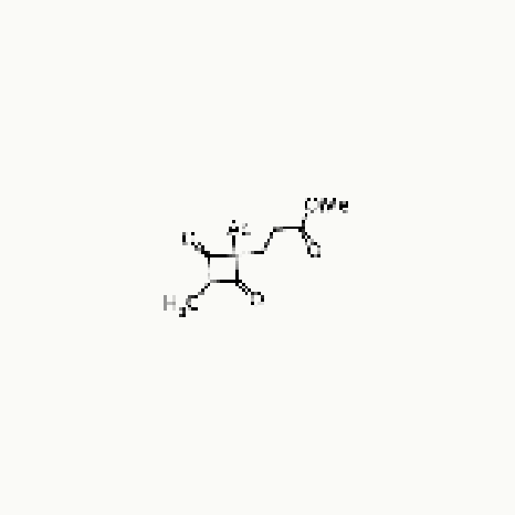 COC(=O)CCC1(C(C)=O)C(=O)C(C)C1=O